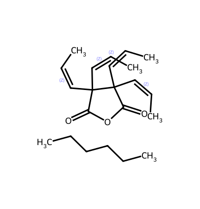 C/C=C\C1(/C=C\C)C(=O)OC(=O)C1(/C=C\C)/C=C\C.CCCCCC